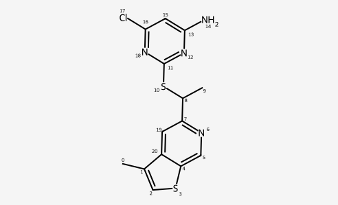 Cc1csc2cnc(C(C)Sc3nc(N)cc(Cl)n3)cc12